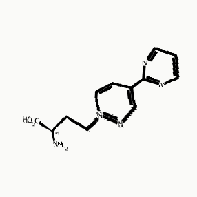 N[C@H](CC[n+]1ccc(-c2ncccn2)cn1)C(=O)O